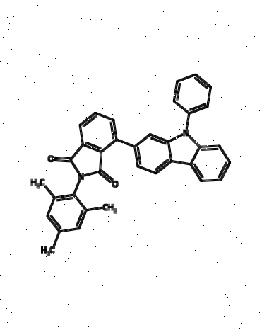 Cc1cc(C)c(N2C(=O)c3cccc(-c4ccc5c6ccccc6n(-c6ccccc6)c5c4)c3C2=O)c(C)c1